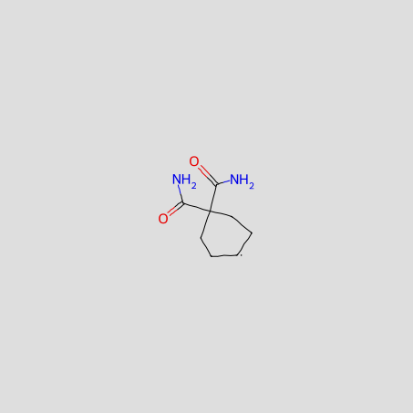 NC(=O)C1(C(N)=O)CC[CH]CC1